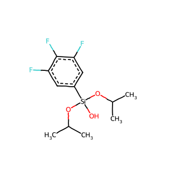 CC(C)O[Si](O)(OC(C)C)c1cc(F)c(F)c(F)c1